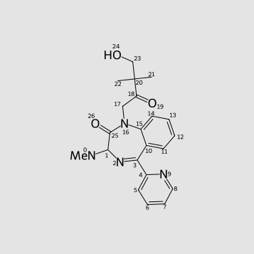 CNC1N=C(c2ccccn2)c2ccccc2N(CC(=O)C(C)(C)CO)C1=O